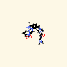 CC(C)[C@H]1COC(=O)N1c1ccnc(N[C@@H](C)c2ccc(CN3CCN(C(=O)/C=C/CN(C)C)CC3)cc2)n1